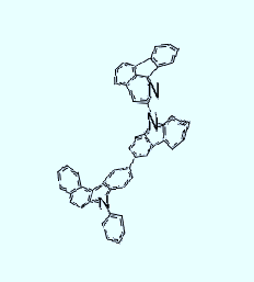 c1ccc(-n2c3ccc(-c4ccc5c(c4)c4ccccc4n5-c4cc5cccc6c5c(n4)-c4ccccc4-6)cc3c3c4ccccc4ccc32)cc1